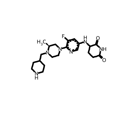 C[C@H]1CN(c2ncc(NC3CCC(=O)NC3=O)cc2F)CCN1CC1CCNCC1